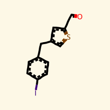 O=Cc1cc(Cc2ccc(I)cc2)cs1